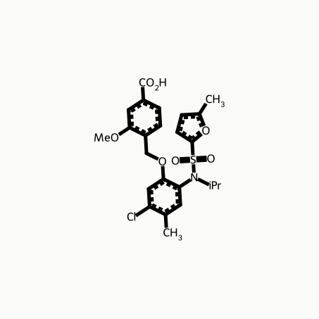 COc1cc(C(=O)O)ccc1COc1cc(Cl)c(C)cc1N(C(C)C)S(=O)(=O)c1ccc(C)o1